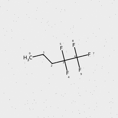 C[CH]CC(F)(F)C(F)(F)F